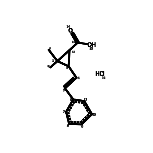 CC1(C)C(C=Cc2ccccc2)C1C(=O)O.Cl